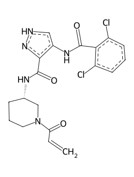 C=CC(=O)N1CCC[C@H](NC(=O)c2n[nH]cc2NC(=O)c2c(Cl)cccc2Cl)C1